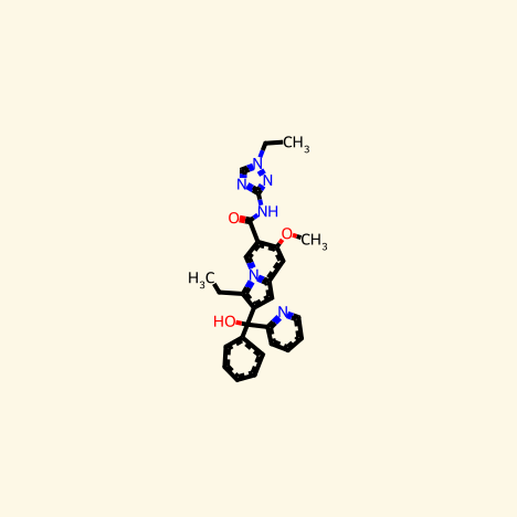 CCc1c(C(O)(c2ccccc2)c2ccccn2)cc2cc(OC)c(C(=O)Nc3ncn(CC)n3)cn12